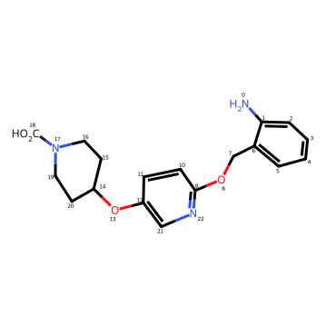 Nc1ccccc1COc1ccc(OC2CCN(C(=O)O)CC2)cn1